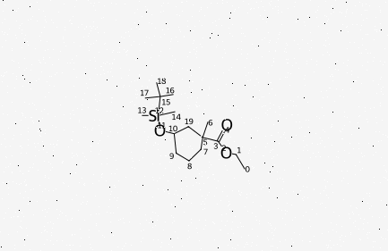 CCOC(=O)C1(C)CCCC(O[Si](C)(C)C(C)(C)C)C1